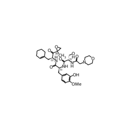 COc1ccc(C[C@H](NC(=O)[C@H](CO)NC(=O)CN2CCOCC2)C(=O)N[C@@H](CC2=CCCCC2)C(=O)[C@@]2(C)CO2)cc1O